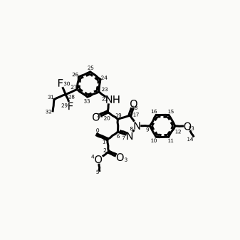 C=C(C(=O)OC)C1=NN(c2ccc(OC)cc2)C(=O)C1C(=O)Nc1cccc(C(F)(F)CC)c1